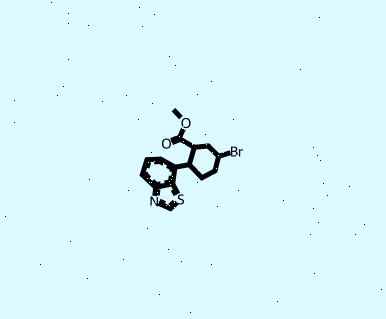 COC(=O)C1CC(Br)CCC1c1cccc2ncsc12